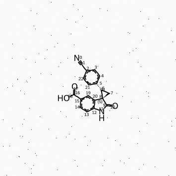 N#Cc1ccc([C@@H]2C[C@]23C(=O)Nc2ccc(C(=O)O)cc23)cc1